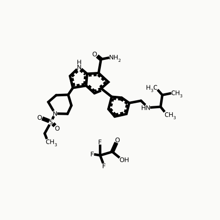 CCS(=O)(=O)N1CCC(c2c[nH]c3c(C(N)=O)cc(-c4cccc(CNC(C)C(C)C)c4)cc23)CC1.O=C(O)C(F)(F)F